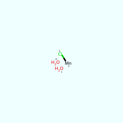 O.O.[Cl][Mn]